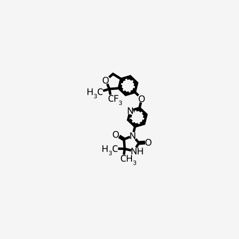 CC1(C)NC(=O)N(c2ccc(Oc3ccc4c(c3)C(C)(C(F)(F)F)OC4)nc2)C1=O